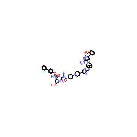 CC(C)(C)[C@H](NC(=O)[C@H]1CC[C@H](N2CCC(c3cnc(CC45CC6CN(c7cc(-c8ccccc8O)nnc7N)CC4CC65)nc3)CC2)CC1)C(=O)N1C[C@H](O)C[C@H]1C(=O)NOc1ccc(-c2ccccc2F)cc1